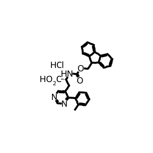 Cc1ccccc1-c1ncncc1C[C@@H](NC(=O)OCC1c2ccccc2-c2ccccc21)C(=O)O.Cl